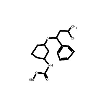 CC(O)CC(SC1CCCC(NC(=O)OC(C)(C)C)C1)c1ccccc1